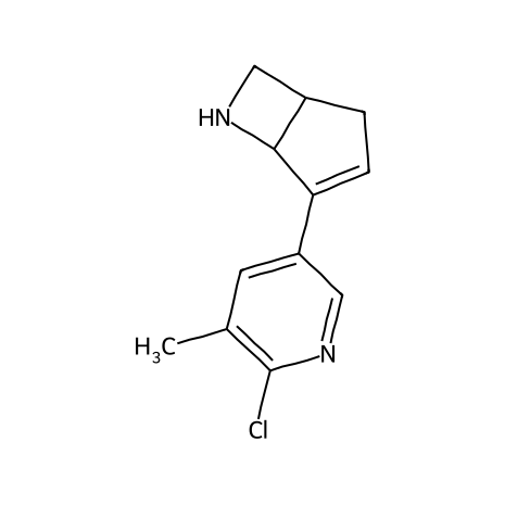 Cc1cc(C2=CCC3CNC23)cnc1Cl